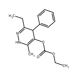 CCOC(=O)OC1=C(C)NN=C(CC)C1c1ccccc1